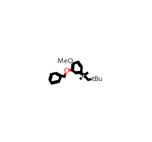 COc1ccc([Si](C)(C)CC(C)(C)C)cc1OCc1ccccc1